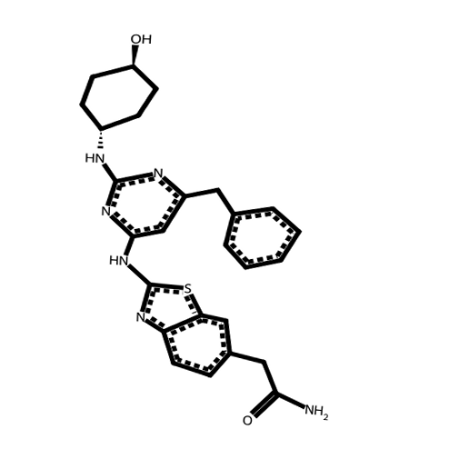 NC(=O)Cc1ccc2nc(Nc3cc(Cc4ccccc4)nc(N[C@H]4CC[C@H](O)CC4)n3)sc2c1